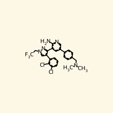 CN(C)Cc1ccc(-c2cnc(N)c(-c3nn(CC(F)(F)F)cc3-c3cccc(Cl)c3Cl)c2)cc1